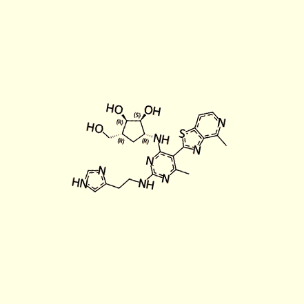 Cc1nc(NCCc2c[nH]cn2)nc(N[C@@H]2C[C@H](CO)[C@@H](O)[C@H]2O)c1-c1nc2c(C)nccc2s1